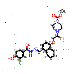 CC(C)(C)OC(=O)N1CCN(C(=O)COc2ccc(/C=N/NC(=O)c3ccc(O)c(Cl)c3)c3ccccc23)CC1